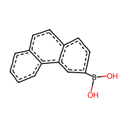 OB(O)c1ccc2ccc3ccccc3c2c1